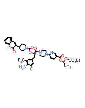 CCOC(=O)OC(C)OC(=O)c1ccc(N2CCN(C(=O)[C@@H](Cc3cc(Cl)c(N)c(C(F)(F)F)c3)OC(=O)N3CCC(c4cc5ccccc5[nH]c4=O)CC3)CC2)nc1